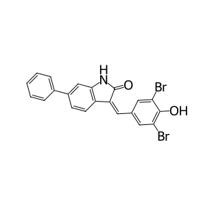 O=C1Nc2cc(-c3ccccc3)ccc2C1=Cc1cc(Br)c(O)c(Br)c1